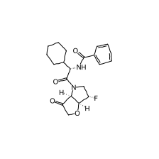 O=C(N[C@H](C(=O)N1C[C@H](F)[C@H]2OCC(=O)[C@H]21)C1CCCCC1)c1ccccc1